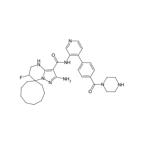 Nc1nn2c(c1C(=O)Nc1cnccc1-c1ccc(C(=O)N3CCNCC3)cc1)NCC(F)C21CCCCCCCC1